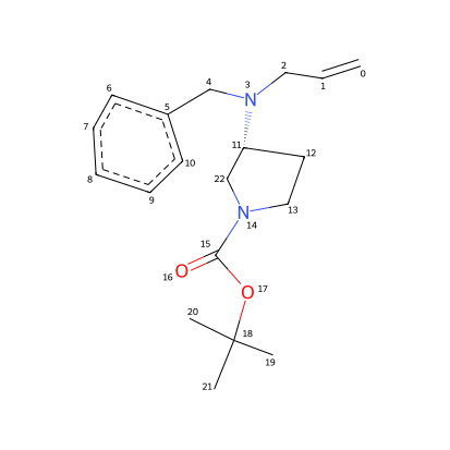 C=CCN(Cc1ccccc1)[C@@H]1CCN(C(=O)OC(C)(C)C)C1